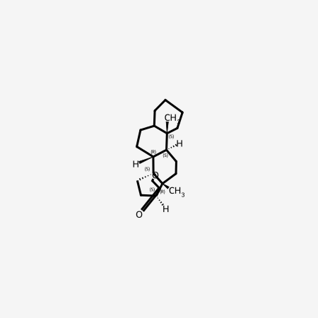 C[C@]12CCCCC1CC[C@@H]1[C@@H]2CC[C@]2(C)[C@@H]3CC[C@]12OCC3=O